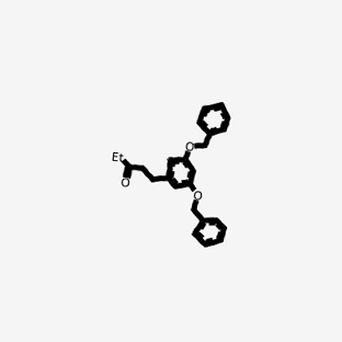 CCC(=O)CCc1[c]c(OCc2ccccc2)cc(OCc2ccccc2)c1